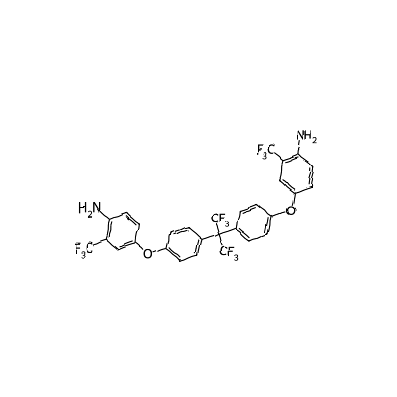 Nc1ccc(Oc2ccc(C(c3ccc(Oc4ccc(N)c(C(F)(F)F)c4)cc3)(C(F)(F)F)C(F)(F)F)cc2)cc1C(F)(F)F